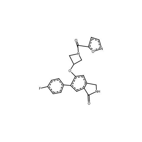 O=C1NCc2cc(OC3CN(C(=O)c4ccno4)C3)c(-c3ccc(F)cc3)cc21